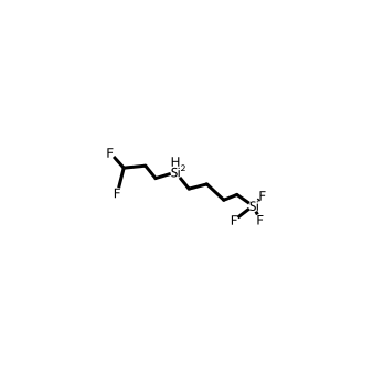 FC(F)CC[SiH2]CCCC[Si](F)(F)F